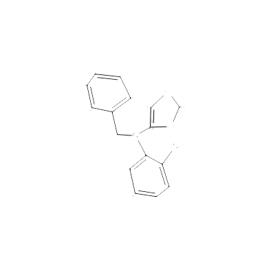 O=[N+]([O-])c1ccccc1N(Cc1ccccc1)C1=COCO1